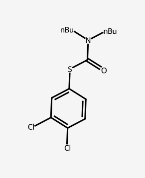 CCCCN(CCCC)C(=O)Sc1ccc(Cl)c(Cl)c1